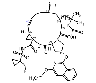 CCOc1cc2ccccc2c(O[C@@H]2C[C@H]3C(=O)N[C@]4(C(=O)NS(=O)(=O)C5(CF)CC5)C[C@H]4/C=C\CC[C@@H](C)C[C@@H](C)[C@H](N(C(=O)O)C(C)(C)C)C(=O)N3C2)n1